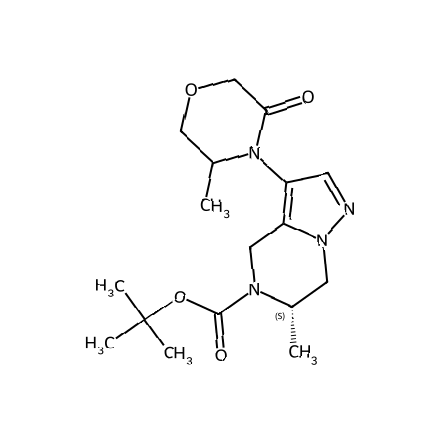 CC1COCC(=O)N1c1cnn2c1CN(C(=O)OC(C)(C)C)[C@@H](C)C2